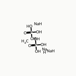 C.O=P(O)(O)O.O=P(O)(O)O.[NaH].[NaH].[NaH]